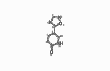 O=c1ccc(-c2ncno2)c[nH]1